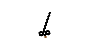 CCCCCCCCCCCCc1c2ccccc2c(Br)c2ccccc12